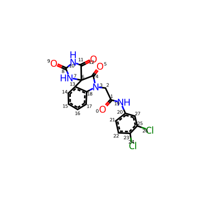 O=C(CN1C(=O)C2(NC(=O)NC2=O)c2ccccc21)Nc1ccc(Cl)c(Cl)c1